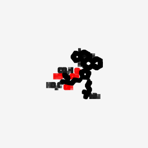 CCCCC(C)(C)C/C=C/[C@H]1CCC(=O)[C@@H]1CCCC(O)(CC(=O)O)/C(O)=C(\O)C(=O)O.C[C@@]12CCC[C@H]1[C@@H]1CCc3ccccc3[C@H]1CC2